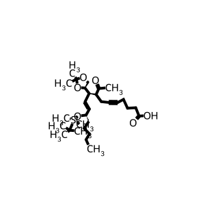 CCCCC[C@@H](/C=C/[C@H](C(CC#CCCCC(=O)O)C(C)=O)[C@@H]1COC(C)(C)O1)O[Si](C)(C)C(C)(C)C